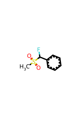 CS(=O)(=O)[C](F)c1ccccc1